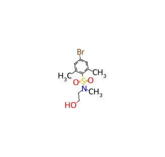 Cc1cc(Br)cc(C)c1S(=O)(=O)N(C)CCO